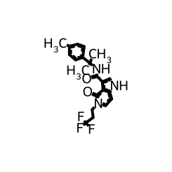 Cc1ccc(C(C)(C)NC(=O)c2c[nH]c3ccn(CCC(F)(F)F)c(=O)c23)cc1